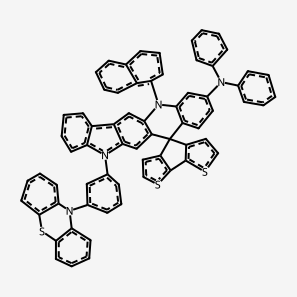 c1ccc(N(c2ccccc2)c2ccc3c(c2)N(c2cccc4ccccc24)c2cc4c5ccccc5n(-c5cccc(N6c7ccccc7Sc7ccccc76)c5)c4cc2C32c3ccsc3-c3sccc32)cc1